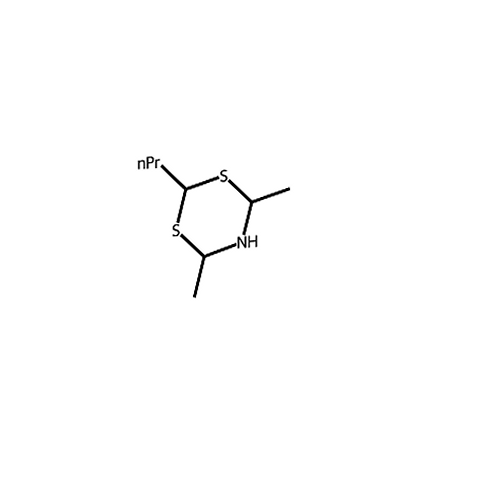 CCCC1SC(C)NC(C)S1